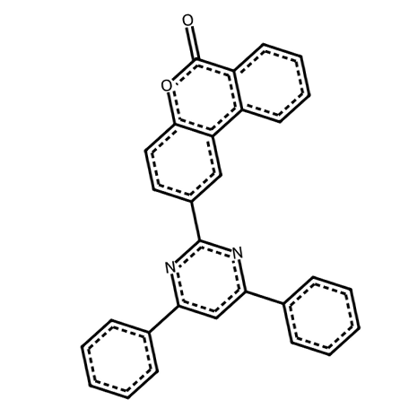 O=c1oc2ccc(-c3nc(-c4ccccc4)cc(-c4ccccc4)n3)cc2c2ccccc12